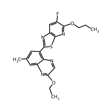 C[CH]COc1nc2sc(-c3cc(C)cc4nc(OCC)cnc34)nc2cc1F